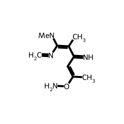 C=N/C(NC)=C(/C)C(=N)/C=C(\C)ON